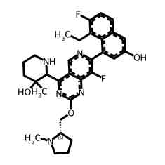 CCc1c(F)ccc2cc(O)cc(-c3ncc4c(C5NCCCC5(C)O)nc(OC[C@@H]5CCCN5C)nc4c3F)c12